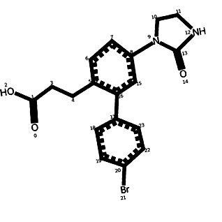 O=C(O)CCc1ccc(N2CCNC2=O)cc1-c1ccc(Br)cc1